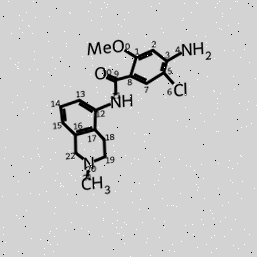 COc1cc(N)c(Cl)cc1C(=O)Nc1cccc2c1CCN(C)C2